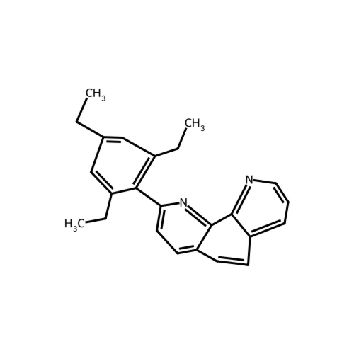 CCc1cc(CC)c(-c2ccc3ccc4cccnc4c3n2)c(CC)c1